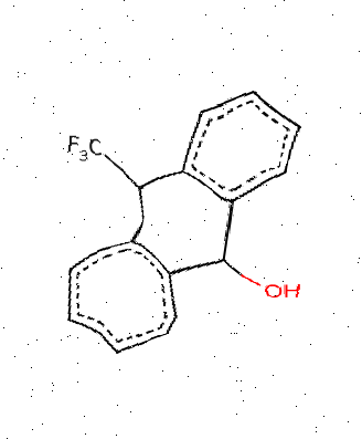 OC1c2ccccc2C(C(F)(F)F)c2ccccc21